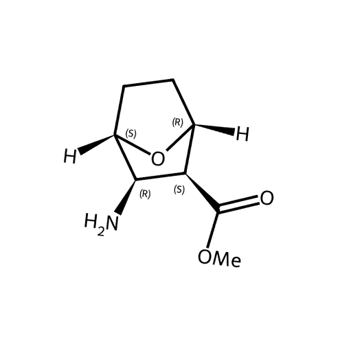 COC(=O)[C@H]1[C@@H](N)[C@@H]2CC[C@H]1O2